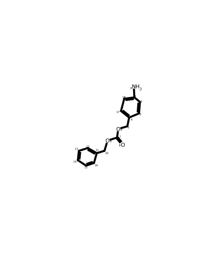 Nc1ccc(COC(=O)OCc2ccccc2)cc1